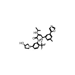 Cc1cc(-c2cc(NC(C)C)c(=O)n(-c3cc(N4CCC(O)C4)ccc3C(F)(F)F)n2)cc(-c2cnco2)c1